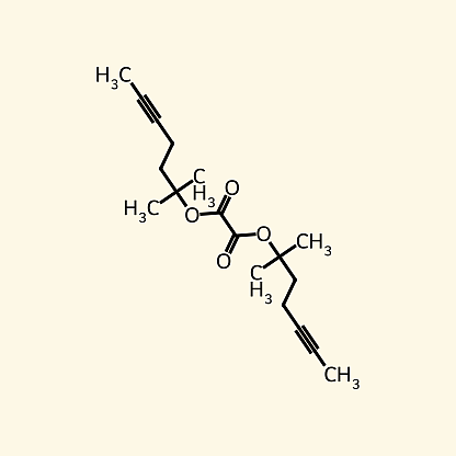 CC#CCCC(C)(C)OC(=O)C(=O)OC(C)(C)CCC#CC